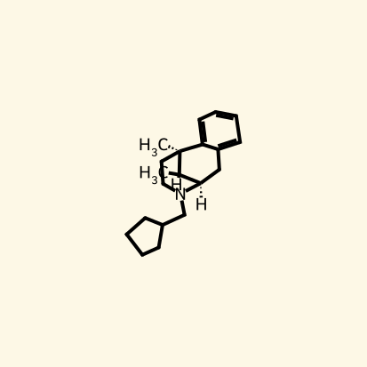 C[C@@H]1[C@H]2Cc3ccccc3[C@]1(C)CCN2CC1CCCC1